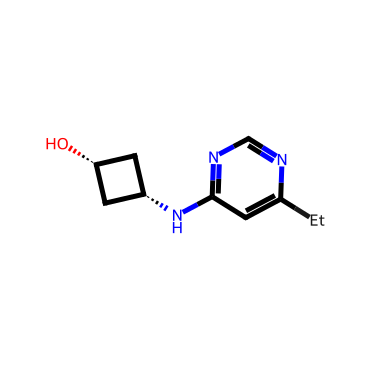 CCc1cc(N[C@H]2C[C@@H](O)C2)ncn1